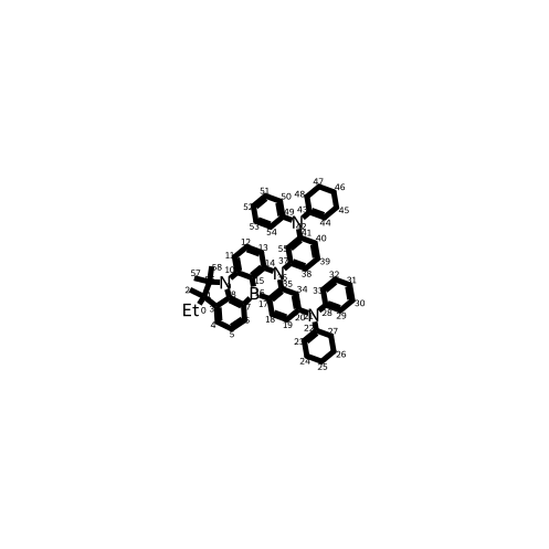 CCC1(C)c2cccc3c2N(c2cccc4c2B3c2ccc(N(C3=CCCCC3)c3ccccc3)cc2N4c2cccc(N(C3=CCCCC3)c3ccccc3)c2)C1(C)C